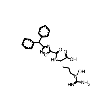 N=C(N)N(O)CCC[C@H](NC(=O)c1nc(C(c2ccccc2)c2ccccc2)no1)C(=O)O